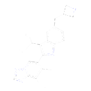 Cc1c(-c2[nH]c3ccc(CC4CNC4)cc3c2C(C)C)cn2ncnc2c1C